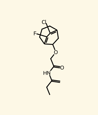 C=C(CC)NC(=O)COC1CC2=C(Cl)C(F)=C1CCC2